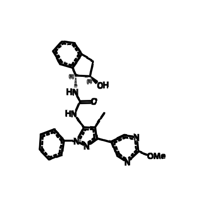 COc1ncc(-c2nn(-c3ccccc3)c(NC(=O)N[C@@H]3c4ccccc4C[C@H]3O)c2C)cn1